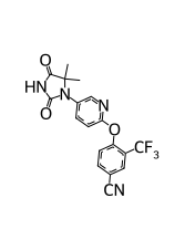 CC1(C)C(=O)NC(=O)N1c1ccc(Oc2ccc(C#N)cc2C(F)(F)F)nc1